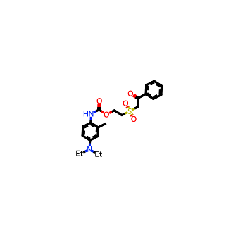 CCN(CC)c1ccc(NC(=O)OCCS(=O)(=O)CC(=O)c2ccccc2)c(C)c1